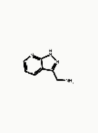 NCc1n[nH]c2ncccc12